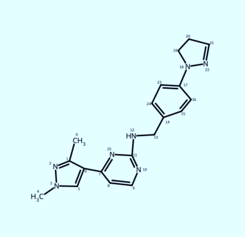 Cc1nn(C)cc1-c1ccnc(NCc2ccc(N3CCC=N3)cc2)n1